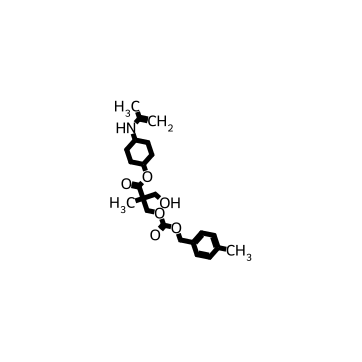 C=C(C)NC1CCC(OC(=O)C(C)(CO)COC(=O)OCc2ccc(C)cc2)CC1